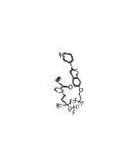 C=CC(=O)OCCC(F)(F)OC(F)(F)OC(F)(F)CCOc1ccc2cc(-c3cccnc3)sc2c1